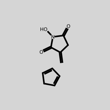 C1=CCC=C1.C=C1CC(=O)N(O)C1=O